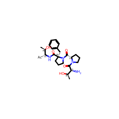 CC(=O)[C@@H](NC(=O)[C@]1(Cc2ccccc2)CCCN1C(=O)[C@@H]1CCCN1C(=O)[C@@H](N)[C@@H](C)O)[C@@H](C)O